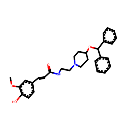 COc1cc(/C=C/C(=O)NCCN2CCC(OC(c3ccccc3)c3ccccc3)CC2)ccc1O